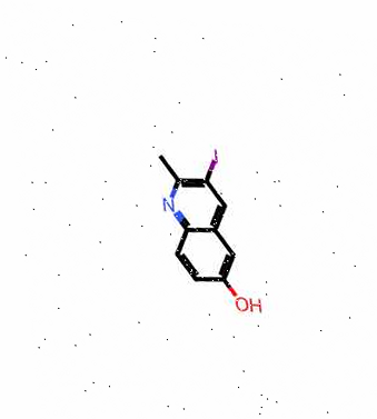 Cc1nc2ccc(O)cc2cc1I